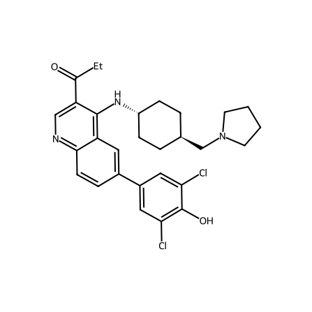 CCC(=O)c1cnc2ccc(-c3cc(Cl)c(O)c(Cl)c3)cc2c1N[C@H]1CC[C@H](CN2CCCC2)CC1